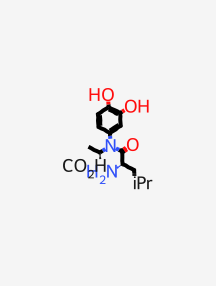 CC(C)C[C@H](N)C(=O)N(c1ccc(O)c(O)c1)[C@@H](C)C(=O)O